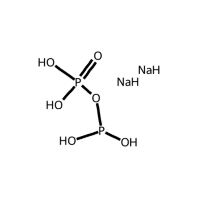 O=P(O)(O)OP(O)O.[NaH].[NaH]